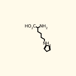 C1=CCC=C1.NCCCCC(N)C(=O)O